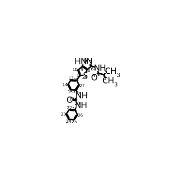 CC(C)C(=O)Nc1n[nH]c2cc(-c3cccc(NC(=O)Nc4ccccc4)c3)sc12